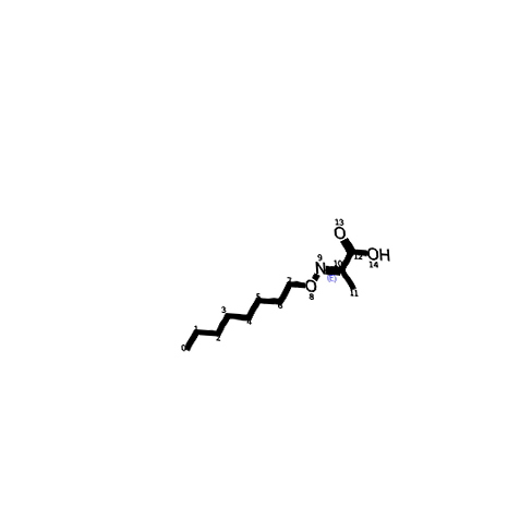 CCCCCCCCO/N=C(\C)C(=O)O